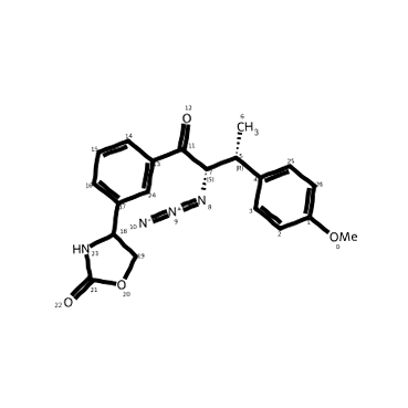 COc1ccc([C@@H](C)[C@H](N=[N+]=[N-])C(=O)c2cccc(C3COC(=O)N3)c2)cc1